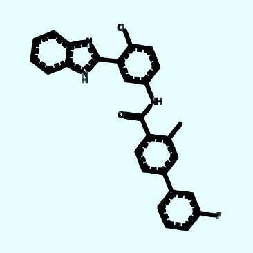 Cc1cc(-c2cccc(F)c2)ccc1C(=O)Nc1ccc(Cl)c(-c2nc3ccccc3[nH]2)c1